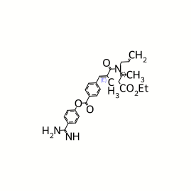 C=CCN(C(=O)/C(C)=C/c1ccc(C(=O)Oc2ccc(C(=N)N)cc2)cc1)[C@@H](C)CC(=O)OCC